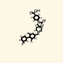 Cc1cc(CN2CCC3(CC2)CN(c2ccc(C(=O)O)cc2)C(=O)O3)cc(C)c1-c1cccc(F)c1